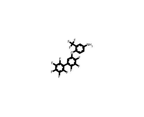 Nc1ccc(Oc2cc(-c3c(F)c(F)c(F)c(F)c3F)c(F)c(F)c2F)c(C(F)(F)F)c1